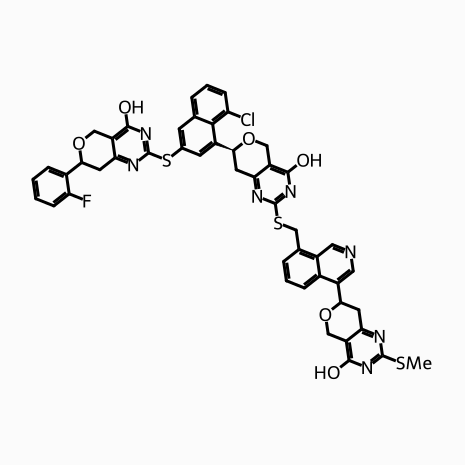 CSc1nc(O)c2c(n1)CC(c1cncc3c(CSc4nc(O)c5c(n4)C[C@@H](c4cc(Sc6nc(O)c7c(n6)CC(c6ccccc6F)OC7)cc6cccc(Cl)c46)OC5)cccc13)OC2